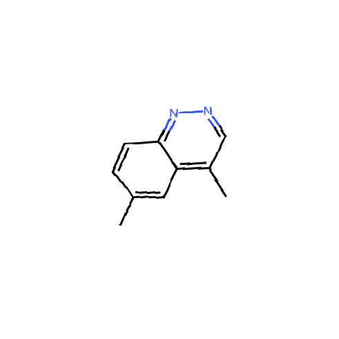 Cc1ccc2nncc(C)c2c1